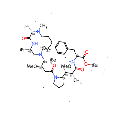 CC[C@H](C)[C@@H]([C@@H](CC(=O)N1CCC[C@H]1[C@H](OC)[C@@H](C)C(=O)N[C@@H](Cc1ccccc1)C(=O)OC(C)(C)C)OC)N(C)C[C@@H](NC(=O)[C@H](C(C)C)N(C)CCCC(=O)O)C(C)C